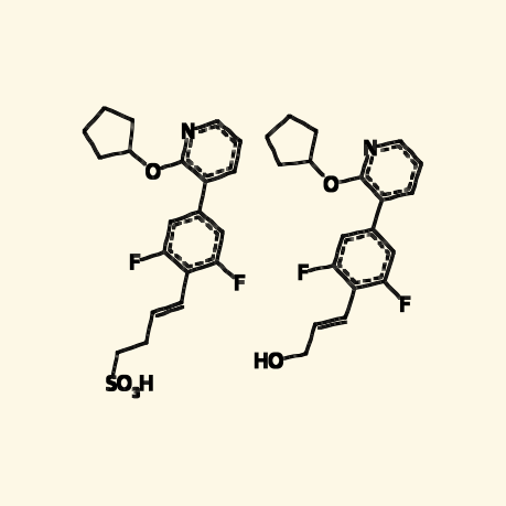 O=S(=O)(O)CC/C=C/c1c(F)cc(-c2cccnc2OC2CCCC2)cc1F.OC/C=C/c1c(F)cc(-c2cccnc2OC2CCCC2)cc1F